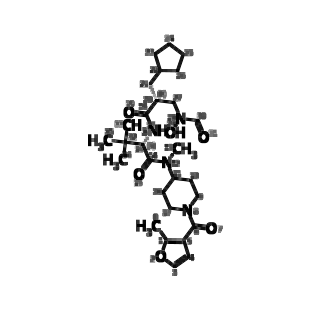 Cc1occc1C(=O)N1CCC(N(C)C(=O)[C@@H](NC(=O)[C@H](CC2CCCC2)CN(O)C=O)C(C)(C)C)CC1